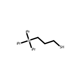 CC(C)[Si](CCCS)(C(C)C)C(C)C